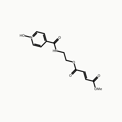 COC(=O)/C=C/C(=O)OCCNC(=O)c1cc[n+](O)cc1